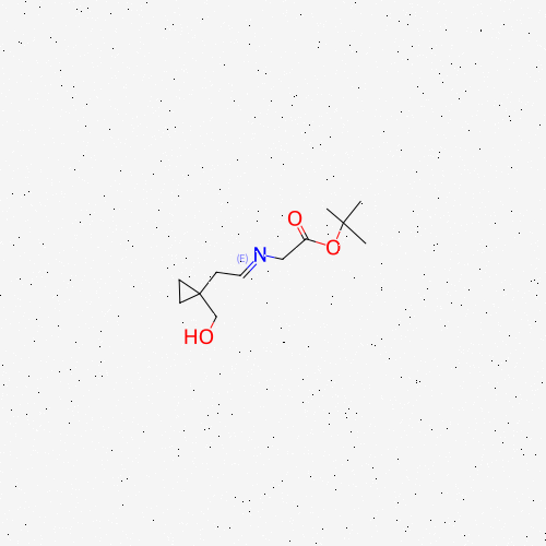 CC(C)(C)OC(=O)C/N=C/CC1(CO)CC1